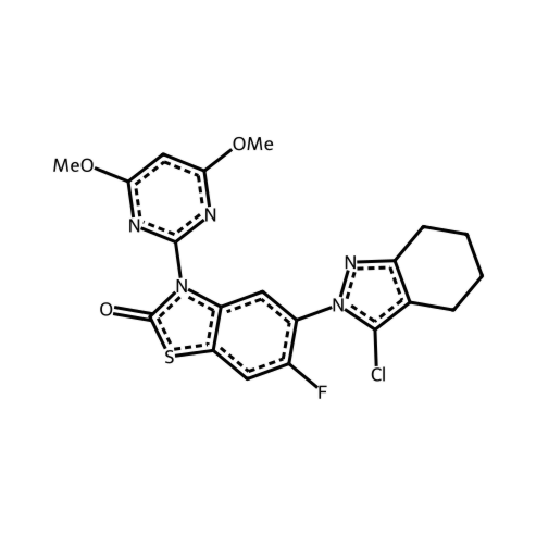 COc1cc(OC)nc(-n2c(=O)sc3cc(F)c(-n4nc5c(c4Cl)CCCC5)cc32)n1